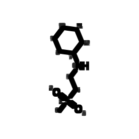 CS(=O)(=O)CCNC1CCCCC1